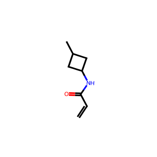 C=CC(=O)NC1CC(C)C1